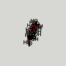 CCCC(=O)NCCON(C)C(OC)C(O)C(O)[C@@H](CCO)O[C@H](OC)C(O)C(O[C@]1(C(=O)O)CC(O)[C@@H](NC(C)=O)C(CC(CO)O[C@]2(C(=O)O)CC(O)[C@@H](NC(C)=O)C(CC(O)CO)O2)O1)C(O)CCO